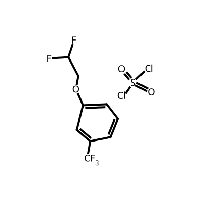 FC(F)COc1cccc(C(F)(F)F)c1.O=S(=O)(Cl)Cl